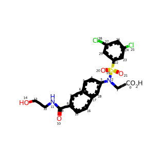 O=C(O)CN(c1ccc2cc(C(=O)NCCO)ccc2c1)S(=O)(=O)c1cc(Cl)cc(Cl)c1